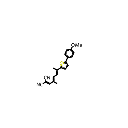 COc1ccc(-c2ccc(/C(C)=C/C=C(\C)C=C(C#N)C#N)s2)cc1